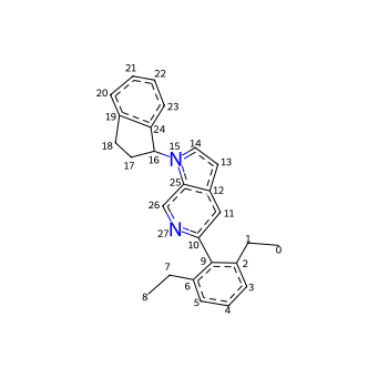 CCc1cccc(CC)c1-c1cc2ccn(C3CCc4ccccc43)c2cn1